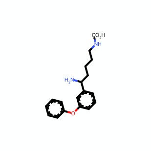 NC(CCCCNC(=O)O)c1cccc(Oc2ccccc2)c1